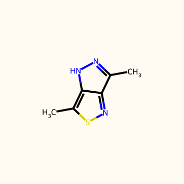 Cc1n[nH]c2c(C)snc12